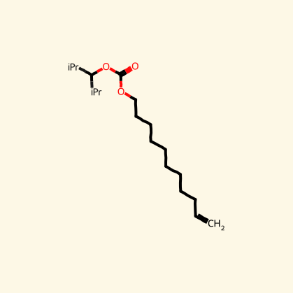 C=CCCCCCCCCCOC(=O)OC(C(C)C)C(C)C